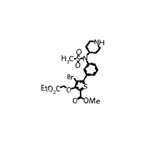 CCOC(=O)COc1c(C(=O)OC)sc(-c2cccc(N(C3CCNCC3)S(C)(=O)=O)c2)c1Br